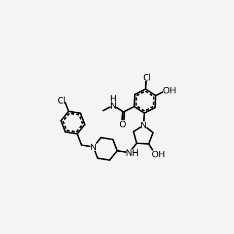 CNC(=O)c1cc(Cl)c(O)cc1N1CC(O)C(NC2CCN(Cc3ccc(Cl)cc3)CC2)C1